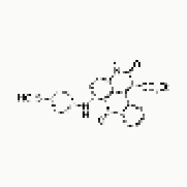 CCOC(=O)c1c2c3c(c(Nc4ccc(S(=O)(=O)O)cc4)ccc3n(C)c1=O)C(=O)c1ccccc1-2